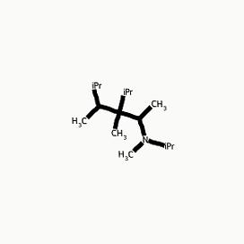 CC(C)C(C)C(C)(C(C)C)C(C)N(C)C(C)C